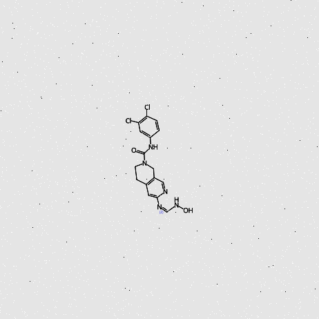 O=C(Nc1ccc(Cl)c(Cl)c1)N1CCc2cc(/N=C\NO)ncc2C1